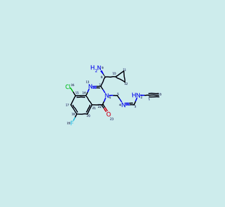 C#CN/C=N\Cn1c([C@@H](N)C2CC2)nc2c(Cl)cc(F)cc2c1=O